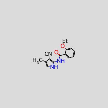 CCOc1ccccc1C(=O)Nc1[nH]cc(C)c1C#N